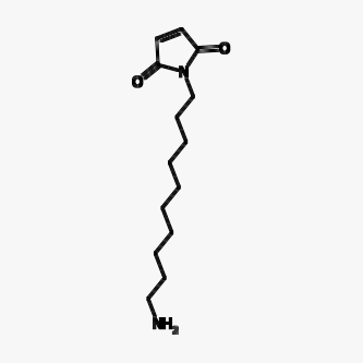 NCCCCCCCCCCN1C(=O)C=CC1=O